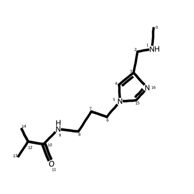 CNCc1cn(CCCNC(=O)C(C)C)cn1